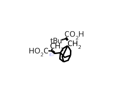 C/C(=C\C12CC3CC(CC(C3)C1)C2)C(=O)O.C=C(C(=O)O)C(C)(C)C